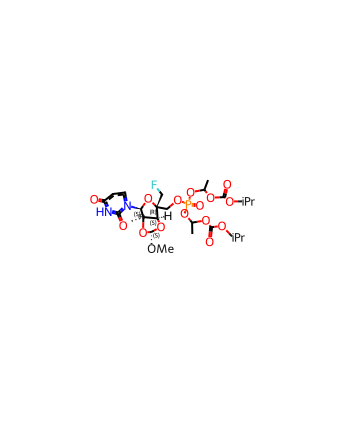 CO[C@H]1O[C@@H]2[C@@](CF)(COP(=O)(OC(C)OC(=O)OC(C)C)OC(C)OC(=O)OC(C)C)O[C@H](n3ccc(=O)[nH]c3=O)[C@]2(C)O1